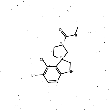 CNC(=O)[C@H]1CC[C@@]2(CNc3ncc(Br)c(Cl)c32)C1